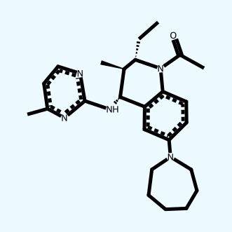 CC[C@H]1[C@H](C)[C@@H](Nc2nccc(C)n2)c2cc(N3CCCCCC3)ccc2N1C(C)=O